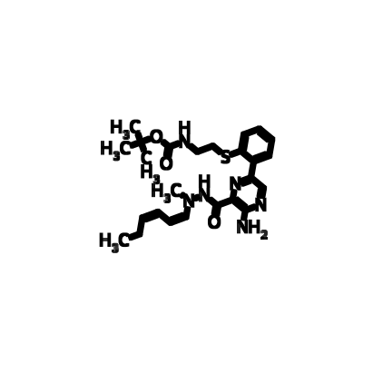 CC/C=C\C=C/N(C)NC(=O)c1nc(-c2ccccc2SCCNC(=O)OC(C)(C)C)cnc1N